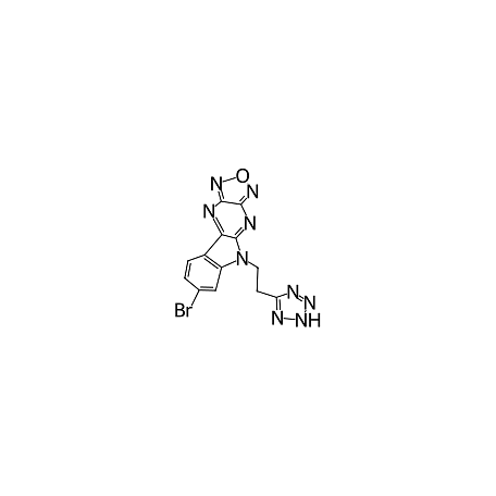 Brc1ccc2c3nc4nonc4nc3n(CCc3nn[nH]n3)c2c1